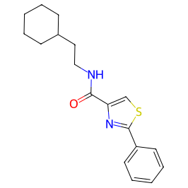 O=C(NCCC1CCCCC1)c1csc(-c2ccccc2)n1